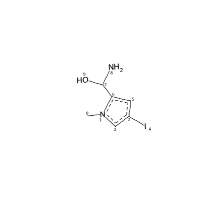 Cn1cc(I)cc1C(N)O